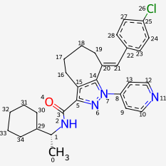 C[C@@H](NC(=O)c1nn(-c2ccncc2)c2c1CCCC/C2=C\c1ccc(Cl)cc1)C1CCCCC1